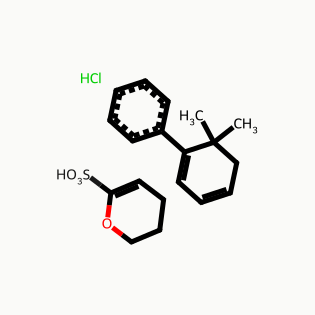 CC1(C)CC=CC=C1c1ccccc1.Cl.O=S(=O)(O)C1=CCCCO1